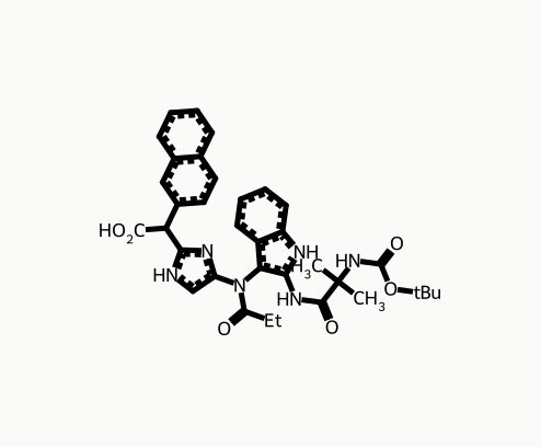 CCC(=O)N(c1c[nH]c(C(C(=O)O)c2ccc3ccccc3c2)n1)c1c(NC(=O)C(C)(C)NC(=O)OC(C)(C)C)[nH]c2ccccc12